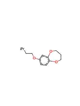 CC(C)CCOc1ccc2c(c1)OCCCO2